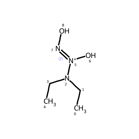 CCN(CC)/[N+](O)=N/O